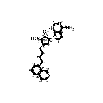 Nc1ncnc2c1ccn2[C@@H]1C[C@H](CCCCc2cccc3ccncc23)[C@@H](O)[C@H]1O